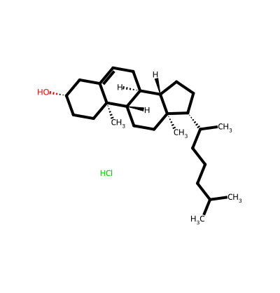 CC(C)CCCC(C)[C@H]1CC[C@H]2[C@@H]3CC=C4C[C@@H](O)CC[C@]4(C)[C@H]3CC[C@]12C.Cl